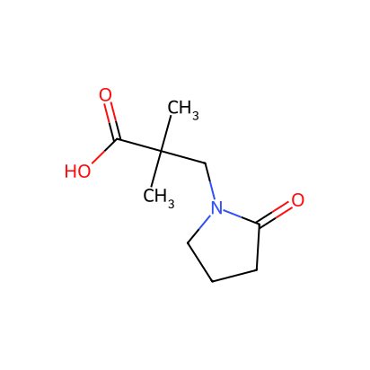 CC(C)(CN1CCCC1=O)C(=O)O